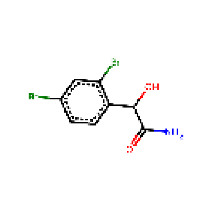 NC(=O)C(O)c1ccc(Br)cc1Br